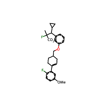 COc1ccc(F)c(C2=CCC(COc3cccc(C(C4CC4)C(C)(F)C(=O)O)c3)CC2)c1